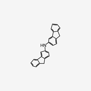 c1ccc2c(c1)Cc1ccc(Nc3ccc4c(c3)-c3ccccc3C4)cc1-2